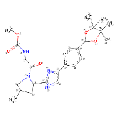 COC(=O)NCC(=O)N1CC(C)CC1c1nc(-c2ccc(B3OC(C)(C)C(C)(C)O3)cc2)c[nH]1